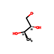 C[C@@H](O)[C@@H](O)C[O]